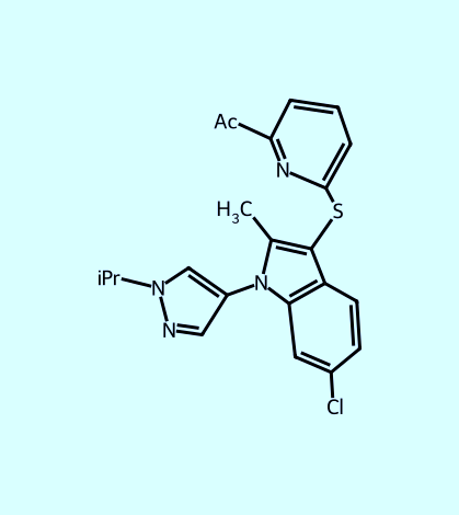 CC(=O)c1cccc(Sc2c(C)n(-c3cnn(C(C)C)c3)c3cc(Cl)ccc23)n1